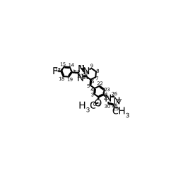 COc1cc(C=C2CCCn3nc(-c4ccc(F)cc4)nc32)ccc1-n1cnc(C)c1